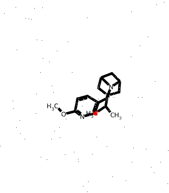 COc1ccc(CN2C3CC2CN(C(C)C)C3)cn1